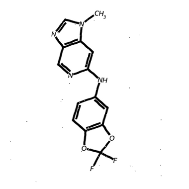 Cn1cnc2cnc(Nc3ccc4c(c3)OC(F)(F)O4)cc21